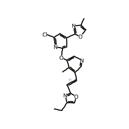 CCc1coc(/C=C/c2cncc(Oc3cc(-c4nc(C)co4)cc(Cl)n3)c2C)n1